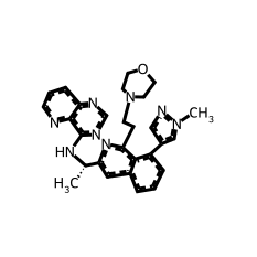 C[C@H](Nc1ncnc2cccnc12)c1cc2cccc(-c3cnn(C)c3)c2c(CCN2CCOCC2)n1